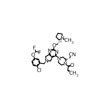 C=CC(=O)N1CCN(c2nc(OC[C@@H]3CCCN3C)nc3c2CN(Cc2cc(OC(F)F)ccc2Cl)C3)C[C@@H]1CC#N